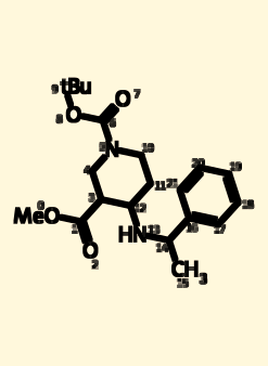 COC(=O)C1CN(C(=O)OC(C)(C)C)CCC1NC(C)c1ccccc1